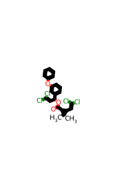 CC1(C)C(C=C(Cl)Cl)C1C(=O)OC(C=C(Cl)Cl)c1cccc(Oc2ccccc2)c1